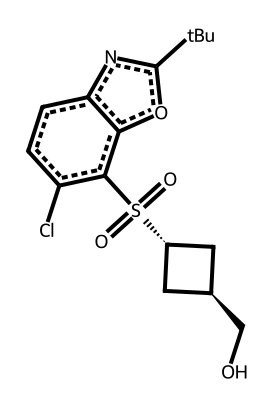 CC(C)(C)c1nc2ccc(Cl)c(S(=O)(=O)[C@H]3C[C@H](CO)C3)c2o1